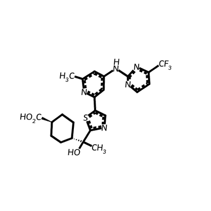 Cc1cc(Nc2nccc(C(F)(F)F)n2)cc(-c2cnc(C(C)(O)[C@H]3CC[C@H](C(=O)O)CC3)s2)n1